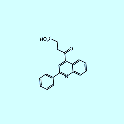 O=C(O)CCC(=O)c1cc(-c2ccccc2)nc2ccccc12